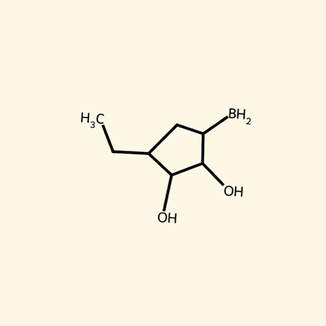 BC1CC(CC)C(O)C1O